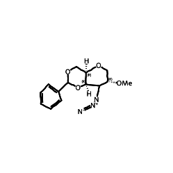 CO[C@H]1CO[C@@H]2COC(c3ccccc3)O[C@@H]2C1N=[N+]=[N-]